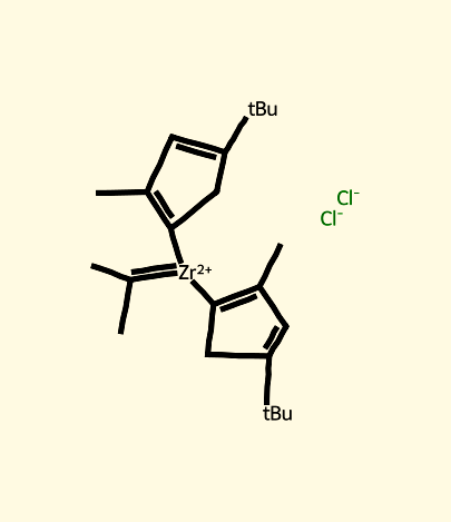 CC1=[C]([Zr+2]([C]2=C(C)C=C(C(C)(C)C)C2)=[C](C)C)CC(C(C)(C)C)=C1.[Cl-].[Cl-]